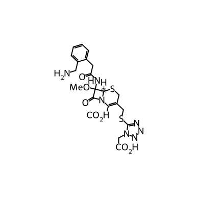 COC1(NC(=O)Cc2ccccc2CN)C(=O)N2C(C(=O)O)=C(CSc3nnnn3CC(=O)O)CS[C@@H]21